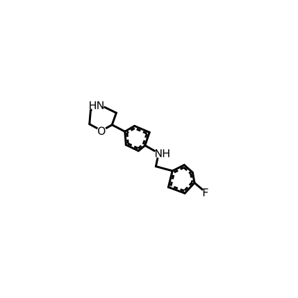 Fc1ccc(CNc2ccc(C3CNCCO3)cc2)cc1